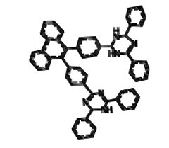 c1ccc(C2=NC(c3ccc(-c4c(-c5ccc(C6NC(c7ccccc7)=NC(c7ccccc7)N6)cc5)c5ccccc5c5ccccc45)cc3)=NC(c3ccccc3)N2)cc1